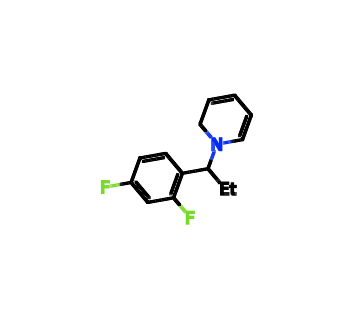 CCC(c1ccc(F)cc1F)N1C=CC=CC1